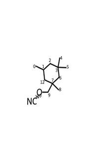 CC1CC(C)(C)CC(C)(COC#N)C1